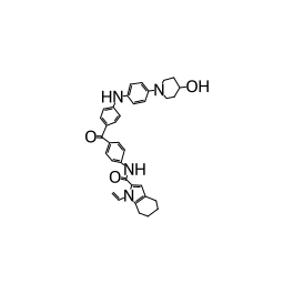 C=Cn1c(C(=O)Nc2ccc(C(=O)c3ccc(Nc4ccc(N5CCC(O)CC5)cc4)cc3)cc2)cc2c1CCCC2